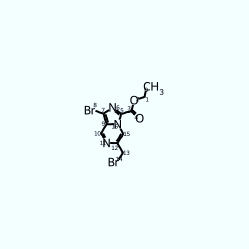 CCOC(=O)c1nc(Br)c2cnc(CBr)cn12